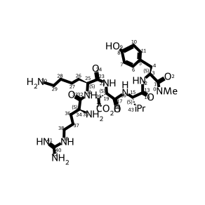 CNC(=O)[C@H](Cc1ccc(O)cc1)NC(=O)[C@@H](NC(=O)[C@H](CC(=O)O)NC(=O)[C@H](CCCCN)NC(=O)[C@@H](N)CCCNC(=N)N)C(C)C